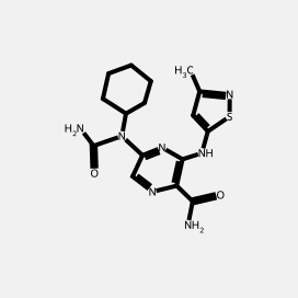 Cc1cc(Nc2nc(N(C(N)=O)C3CCCCC3)cnc2C(N)=O)sn1